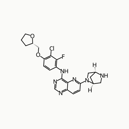 Fc1c(Nc2ncnc3ccc(N4C[C@@H]5C[C@H]4CN5)nc23)ccc(OC[C@@H]2CCCO2)c1Cl